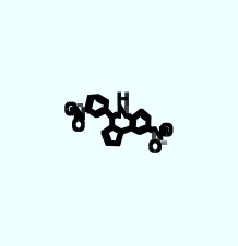 O=[N+]([O-])c1cccc(C2Nc3ccc([N+](=O)[O-])cc3C3CC=CC32)c1